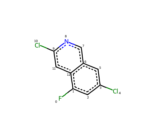 Fc1cc(Cl)cc2cnc(Cl)cc12